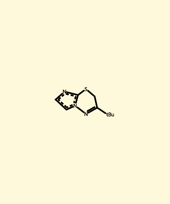 CC(C)(C)C1=Nn2ccnc2SC1